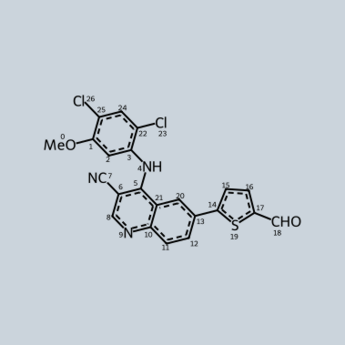 COc1cc(Nc2c(C#N)cnc3ccc(-c4ccc(C=O)s4)cc23)c(Cl)cc1Cl